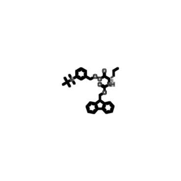 CCC[C@H](NC(=O)OCC1c2ccccc2-c2ccccc21)C(=O)OOCc1cccc([Si](C)(C)C(C)(C)C)c1